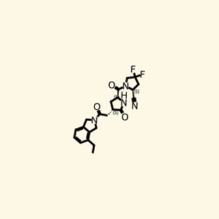 CCc1cccc2c1CN(C(=O)C[C@@H]1C[C@@H](C(=O)N3CC(F)(F)C[C@H]3C#N)NC1=O)C2